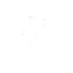 C=C(C)c1cc(OC)ccc1N